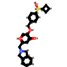 O=c1cc(CN2Cc3ccccc3C2)occ1OCc1ccc([S+]([O-])C2CCC2)cc1